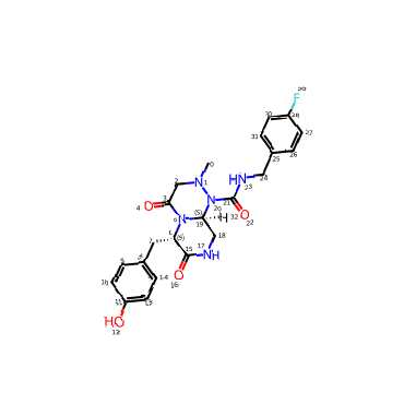 CN1CC(=O)N2[C@@H](Cc3ccc(O)cc3)C(=O)NC[C@@H]2N1C(=O)NCc1ccc(F)cc1